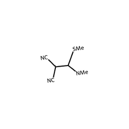 CNC(SC)[C](C#N)C#N